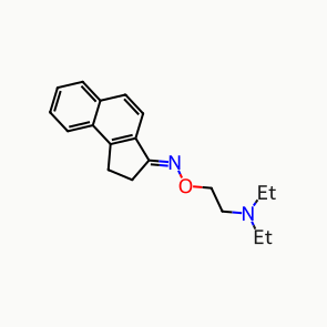 CCN(CC)CCON=C1CCc2c1ccc1ccccc21